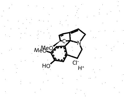 COc1cc2c(cc1O)CCN1CC=C3C=C[C@H](OC)CC321.[Cl-].[H+]